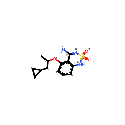 CC(CC1CC1)Oc1cccc2c1C(N)=NS(=O)(=O)N2